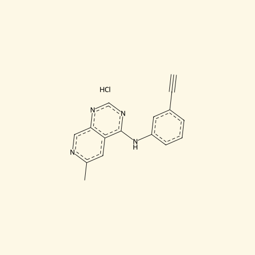 C#Cc1cccc(Nc2ncnc3cnc(C)cc23)c1.Cl